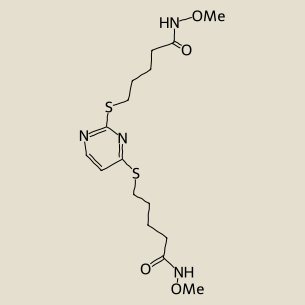 CONC(=O)CCCCSc1ccnc(SCCCCC(=O)NOC)n1